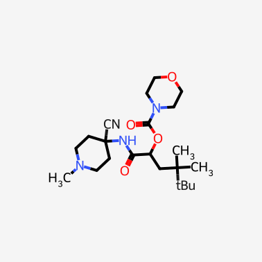 CN1CCC(C#N)(NC(=O)C(CC(C)(C)C(C)(C)C)OC(=O)N2CCOCC2)CC1